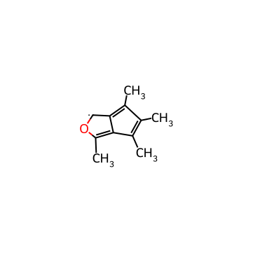 CC1=C2C(C)=C(C)C(C)=C2[CH]O1